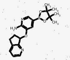 CC1(C)OB(c2cnc(N)c(OC3CCc4cccnc43)c2)OC1(C)C